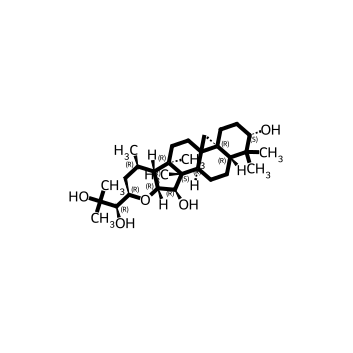 C[C@@H]1C[C@H]([C@@H](O)C(C)(C)O)O[C@@H]2[C@H]1[C@@]1(C)CCC34C[C@@]35CC[C@H](O)C(C)(C)[C@@H]5CC[C@H]4[C@]1(C)[C@H]2O